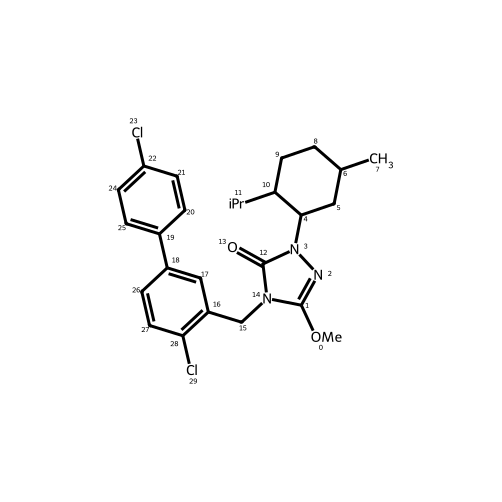 COc1nn(C2CC(C)CCC2C(C)C)c(=O)n1Cc1cc(-c2ccc(Cl)cc2)ccc1Cl